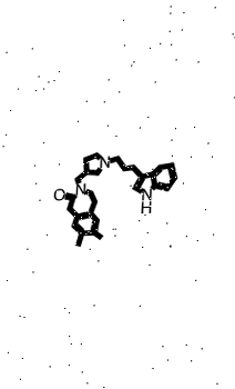 Cc1cc2c(cc1C)CC(=O)N(CC1CCN(CCCc3c[nH]c4ccccc34)C1)CC2